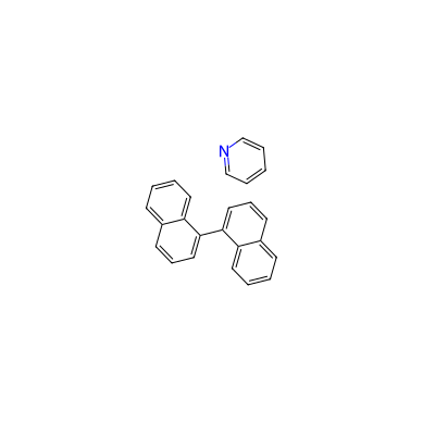 c1ccc2c(-c3cccc4ccccc34)cccc2c1.c1ccncc1